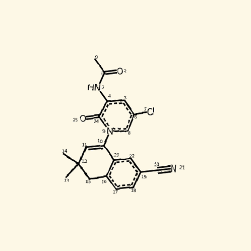 CC(=O)Nc1cc(Cl)cn(C2=CC(C)(C)Cc3ccc(C#N)cc32)c1=O